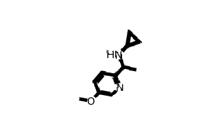 COc1ccc(C(C)NC2CC2)nc1